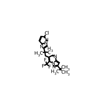 CC(C)(C)c1cc2ncc(CC(C)(C)c3cn4nc(Cl)ccc4n3)c(C(F)(F)F)n2n1